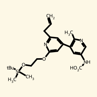 C=CCc1cc(-c2cc(NC(=O)O)cnc2C)cc(OCCO[Si](C)(C)C(C)(C)C)n1